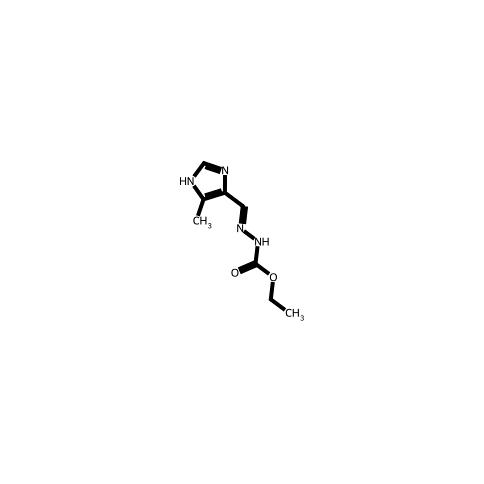 CCOC(=O)NN=Cc1nc[nH]c1C